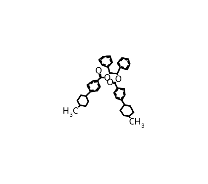 CC1CCC(c2ccc(C(=O)OC(c3ccccc3)C(OC(=O)c3ccc(C4CCC(C)CC4)cc3)c3ccccc3)cc2)CC1